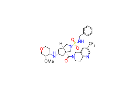 COC1COCCC1N[C@@H]1C[C@H]2CN(S(=O)(=O)NCc3ccccc3)C[C@@]2(C(=O)N2CCc3ncc(C(F)(F)F)cc3C2)C1